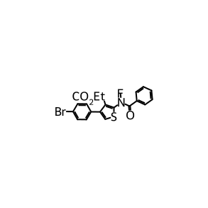 CCOC(=O)c1c(-c2ccc(Br)cc2)csc1N(F)C(=O)c1ccccc1